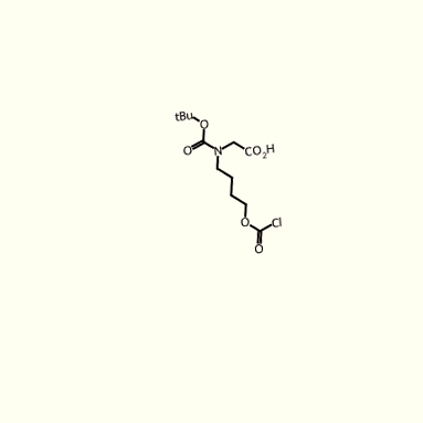 CC(C)(C)OC(=O)N(CCCCOC(=O)Cl)CC(=O)O